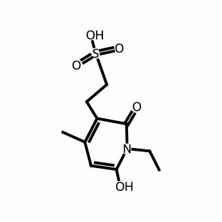 CCn1c(O)cc(C)c(CCS(=O)(=O)O)c1=O